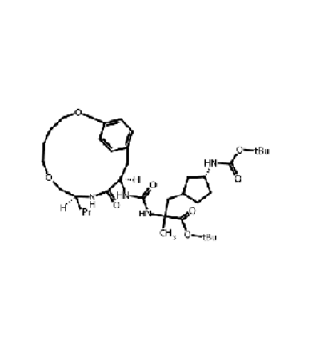 CC(C)[C@H]1COCCCCOc2ccc(cc2)C[C@@H](NC(=O)NC(C)(C[C@@H]2CC[C@@H](NC(=O)OC(C)(C)C)C2)C(=O)OC(C)(C)C)C(=O)N1